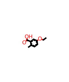 CCOc1ccc(C)c(C(=O)O)c1